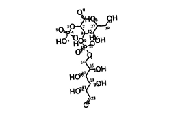 O=CC(OP(=O)(O)O)C(OP(=O)(O)OC[C@@H](O)[C@@H](O)[C@H](O)[C@@H](O)C=O)C(O)C(O)CO